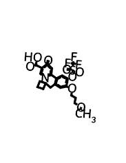 COCCCOc1cc2c(cc1OS(=O)(=O)C(F)(F)F)-c1cc(=O)c(C(=O)O)cn1C1(CCC1)C2